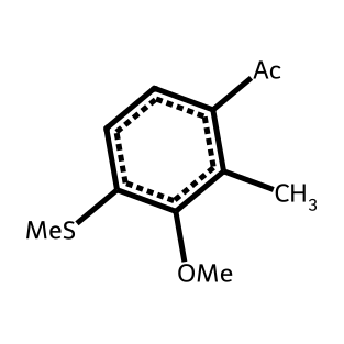 COc1c(SC)ccc(C(C)=O)c1C